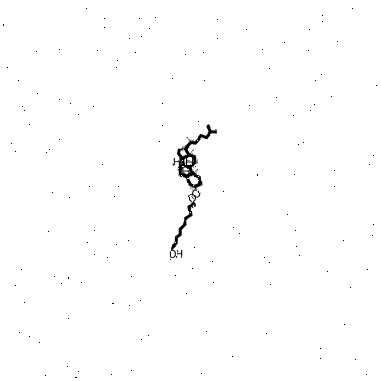 CC(C)CCC[C@@H](C)[C@H]1CC[C@H]2[C@@H]3CC=C4C[C@@H](OOCCCCCCCCCCO)CC[C@]4(C)[C@H]3CC[C@]12C